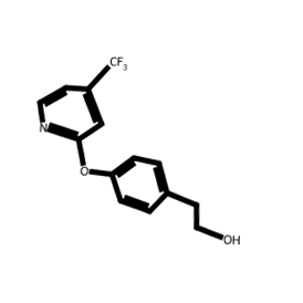 OCCc1ccc(Oc2cc(C(F)(F)F)ccn2)cc1